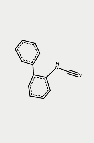 N#CNc1ccccc1-c1ccccc1